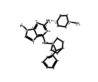 CC(C)n1cnc2c(N[N+]34CCC(CC3)C4c3ccccc3)nc(N[C@H]3CC[C@H](N)CC3)nc21